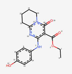 CCOC(=O)c1c(Nc2ccc(O)cc2)nc2n(c1=O)CCCC2